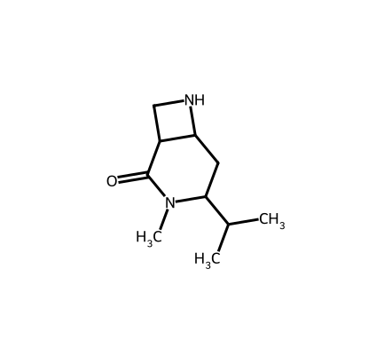 CC(C)C1CC2NCC2C(=O)N1C